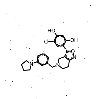 Oc1cc(O)c(-c2onc3c2CN(Cc2cccc(N4CCCC4)c2)CC3)cc1Cl